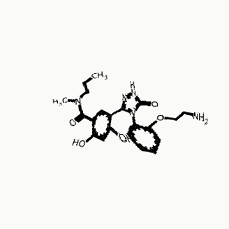 CCCN(C)C(=O)c1cc(-c2n[nH]c(=O)n2-c2ccccc2OCCN)c(O)cc1O